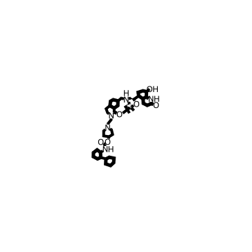 CC(C)(C)[Si](C)(C)O[C@@H](CNCc1ccc2c(c1)C(=O)N(CCN1CCC(OC(=O)Nc3ccccc3-c3ccccc3)CC1)CC2)c1ccc(O)c2[nH]c(=O)ccc12